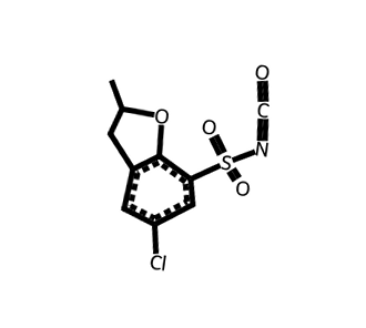 CC1Cc2cc(Cl)cc(S(=O)(=O)N=C=O)c2O1